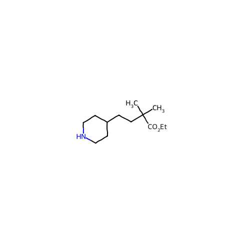 CCOC(=O)C(C)(C)CCC1CCNCC1